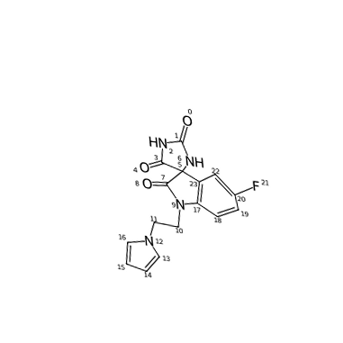 O=C1NC(=O)C2(N1)C(=O)N(CCn1cccc1)c1ccc(F)cc12